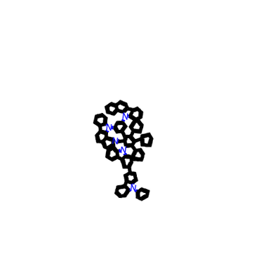 N#Cc1c(-c2cc(-n3c4ccccc4c4ccc5ccccc5c43)cc(-n3c4ccccc4c4ccc5ccccc5c43)c2)c(-c2ccccc2)c(-c2ccccc2)c(-c2ccccc2)c1-n1c2ccccc2c2cc(-c3ccc4c(c3)c3ccccc3n4-c3ccccc3)ccc21